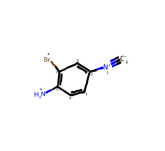 [C-]#[N+]c1ccc(N)c(Br)c1